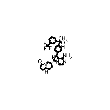 CC(O)(c1ccc(-c2nc([C@@H]3CC[C@H]4CCC(=O)N4C3)n3ccnc(N)c23)cc1)c1cccc(C(F)(F)F)c1